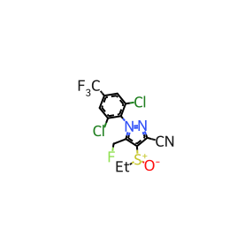 CC[S+]([O-])c1c(C#N)nn(-c2c(Cl)cc(C(F)(F)F)cc2Cl)c1CF